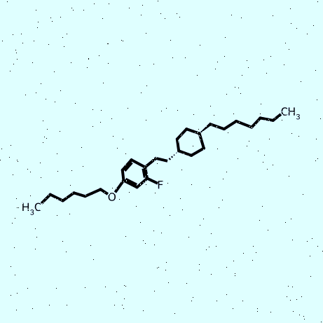 CCCCCCC[C@H]1CC[C@H](CCc2ccc(OCCCCCC)cc2F)CC1